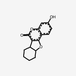 O=c1oc2cc(O)ccc2c2c1C1CCCCC1O2